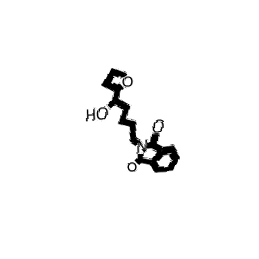 O=C1c2ccccc2C(=O)N1CCCCC(O)c1ccco1